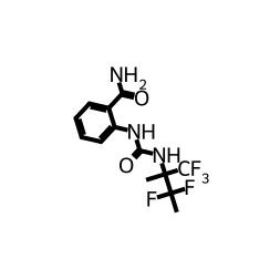 CC(F)(F)C(C)(NC(=O)Nc1ccccc1C(N)=O)C(F)(F)F